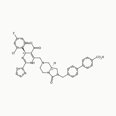 COC(=O)C1=C(CN2CCN3C(=O)N(Cc4ccc(-c5ccc(C(=O)O)cc5)cc4)C[C@@H]3C2)NC(c2nccs2)=N[C@H]1c1ccc(F)cc1Cl